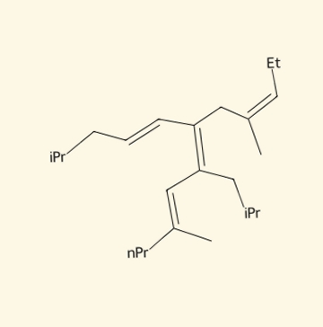 CCC=C(C)CC(C=CCC(C)C)=C(C=C(C)CCC)CC(C)C